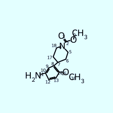 COC(=O)N1CCC(c2cc(N)ccc2OC)CC1